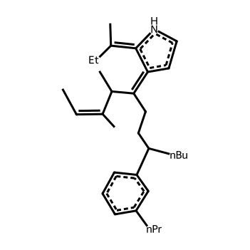 C/C=C(/C)C(C)/C(CCC(CCCC)c1cccc(CCC)c1)=c1/cc[nH]/c1=C(\C)CC